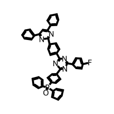 O=P(c1ccccc1)(c1ccccc1)c1ccc(-c2nc(-c3ccc(F)cc3)nc(-c3ccc(-c4nc(-c5ccccc5)cc(-c5ccccc5)n4)cc3)n2)cc1